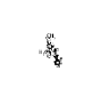 CCOCc1ncc2c(n1)N(C)C(C=O)N2C(=O)N1CC(c2ccccc2F)C1